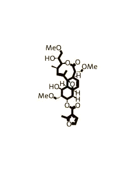 COC[C@@H]1[C@@H](O)[C@@H]2[C@H]3C=C[C@@H]4[C@@H](COC)C(=O)O[C@H]([C@H](O)COC)[C@H](C)/C=C(\C)[C@@]24O[C@H]3[C@@H]1OC(=O)c1ccoc1C